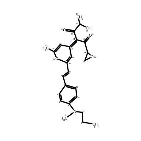 CCCN(C)c1ccc(C=CC2=C/C(=C(/C(=O)C(C)O)C(=O)C3CO3)C=C(C)O2)cc1